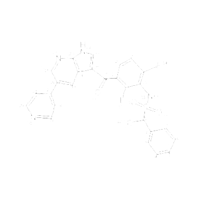 CC(c1ccccc1)S(=O)(=O)Nc1c(F)ccc(C(=O)c2c[nH]c3ncc(-c4ccncc4)cc23)c1F